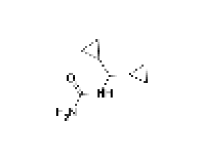 NC(=O)NC(C1CC1)C1CC1